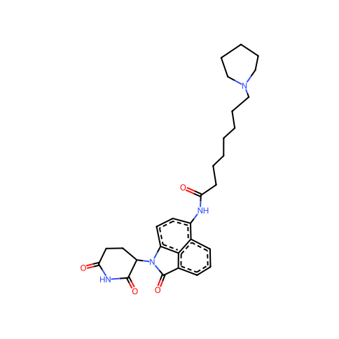 O=C1CCC(N2C(=O)c3cccc4c(NC(=O)CCCCCCCN5CCCCC5)ccc2c34)C(=O)N1